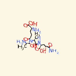 CC(N)C(=O)N(C(=O)CCC(N)C(=O)O)C(C)C(=O)NC(CCC(N)=O)C(=O)O